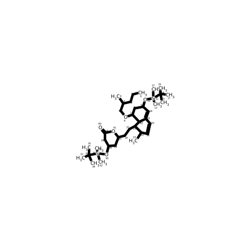 CCCC(C)COC1CC(O[Si](C)(C)C(C)(C)C)C=C2C=CC(C)C(CCC3CC(O[Si](C)(C)C(C)(C)C)CC(=O)O3)C21